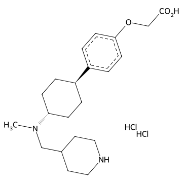 CN(CC1CCNCC1)[C@H]1CC[C@H](c2ccc(OCC(=O)O)cc2)CC1.Cl.Cl